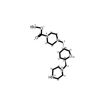 CC(C)(C)OC(=O)N1CCN(C[C@H]2CC[C@H](CN3CCNCC3)OC2)CC1